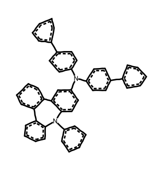 c1ccc(-c2ccc(N(c3ccc(-c4ccccc4)cc3)c3ccc4c(c3)-c3ccccc3-c3ccccc3N4c3ccccc3)cc2)cc1